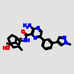 CC1C[C@]2(O)CCC(C2C)[C@@H]1NC(=O)c1nc(-c2cccc(-c3cnn(C)c3)c2)cnc1N